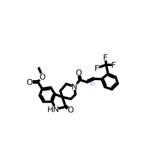 COC(=O)c1ccc2c(c1)C1(CCN(C(=O)/C=C/c3ccccc3C(F)(F)F)CC1)C(=O)N2